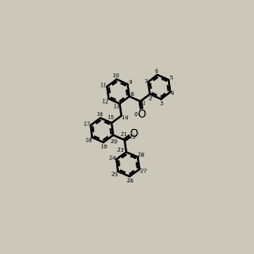 O=C(c1ccccc1)c1ccccc1Cc1ccccc1C(=O)c1ccccc1